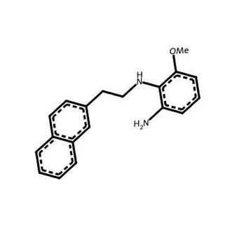 COc1cccc(N)c1NCCc1ccc2ccccc2c1